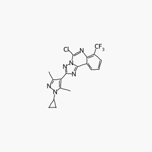 Cc1nn(C2CC2)c(C)c1-c1nc2c3cccc(C(F)(F)F)c3nc(Cl)n2n1